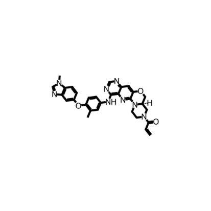 C=CC(=O)N1CCN2c3nc4c(Nc5ccc(Oc6ccc7c(c6)ncn7C)c(C)c5)ncnc4cc3OC[C@H]2C1